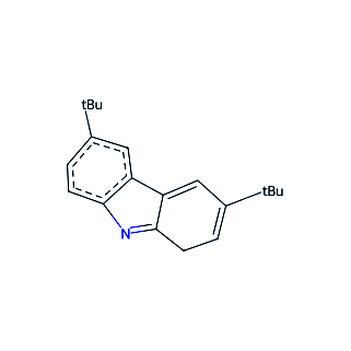 CC(C)(C)C1=CCC2=Nc3ccc(C(C)(C)C)cc3C2=C1